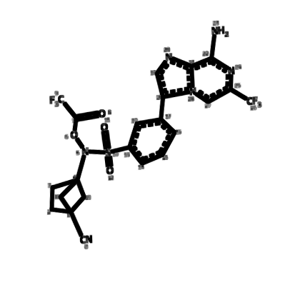 N#CC12CCC(N(OC(=O)C(F)(F)F)S(=O)(=O)c3cccc(-c4cnc5c(N)nc(C(F)(F)F)cn45)c3)(C1)C2